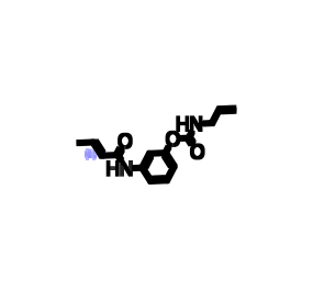 C=CCNC(=O)Oc1cccc(NC(=O)/C=C/C)c1